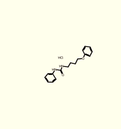 Cl.O=C(NCCCCOc1ccccc1)Nc1ccccc1